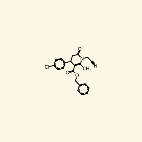 CC1=C(C(=O)OCc2ccccc2)C(c2ccc(Cl)cc2)CC(=O)N1CC#N